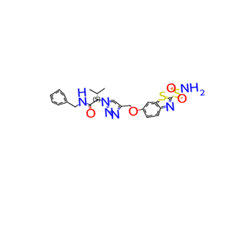 CC(C)[C@@H](C(=O)NCc1ccccc1)n1cc(COc2ccc3nc(S(N)(=O)=O)sc3c2)nn1